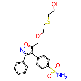 NS(=O)(=O)c1ccc(-c2c(-c3ccccc3)noc2COCCSCCO)cc1